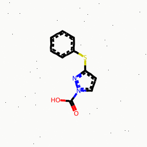 O=C(O)n1ccc(Sc2ccccc2)n1